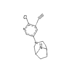 C#Cc1cc(N2CC3CCC(C2)N3)cnc1Cl